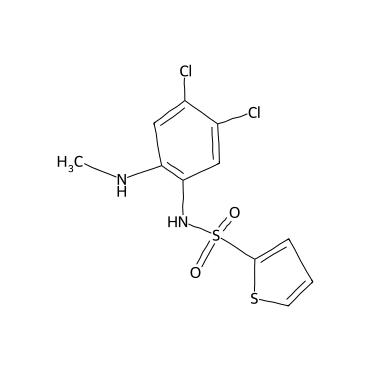 CNc1cc(Cl)c(Cl)cc1NS(=O)(=O)c1cccs1